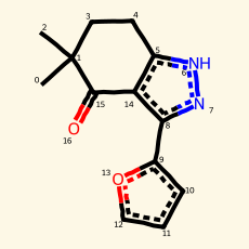 CC1(C)CCc2[nH]nc(-c3ccco3)c2C1=O